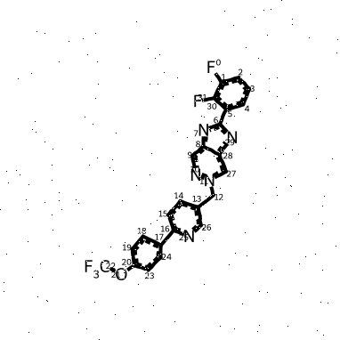 Fc1cccc(-c2nc3cnn(Cc4ccc(-c5ccc(OC(F)(F)F)cc5)nc4)cc-3n2)c1F